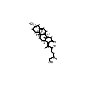 C/C(C(=O)CC[C@@H](C)CO)=C1/C(=O)C[C@H]2[C@@H]3CC=C4C[C@@H](O)CC[C@]4(C)[C@H]3CC[C@]12C